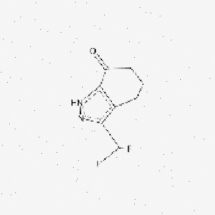 O=C1CCCc2c(C(F)F)n[nH]c21